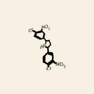 O=[N+]([O-])c1cc(C2CCC(c3ccc(Cl)c([N+](=O)[O-])c3)N2)ccc1Cl